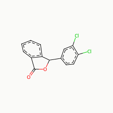 O=C1OC(c2ccc(Cl)c(Cl)c2)c2ccccc21